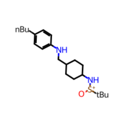 CCCCc1ccc(NCC2CCC(N[S+]([O-])C(C)(C)C)CC2)cc1